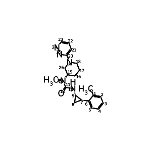 Cc1ccccc1[C@H]1C[C@@H]1NC(=O)N(C)[C@@H]1CCCN(c2cccnn2)C1